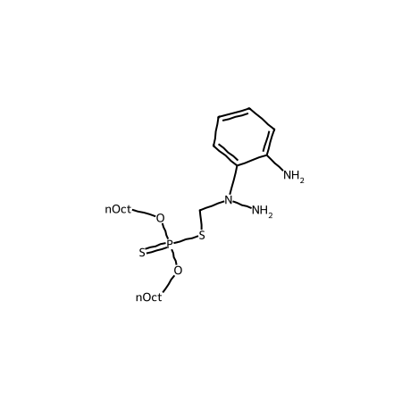 CCCCCCCCOP(=S)(OCCCCCCCC)SCN(N)c1ccccc1N